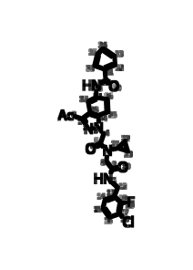 CC(=O)c1nn(CC(=O)N(CC(=O)NCc2cccc(Cl)c2F)C2CC2)c2ccc(NC(=O)c3ccccc3)cc12